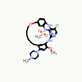 CCN(c1cc2ccc1Nc1nc(ncc1Cl)Nc1cc(c(N3CCN(C)CC3)cc1OC)CCCCCCO2)S(C)(=O)=O